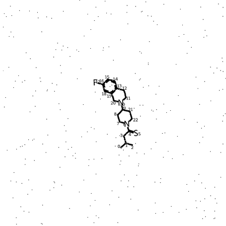 CC(C)CC(=S)N1CCC(N2CCc3ccc(F)cc3C2)CC1